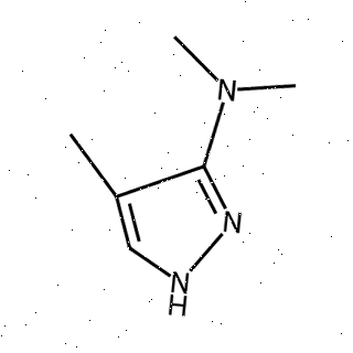 Cc1c[nH]nc1N(C)C